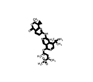 C[C@H](C[C@@H](C)S(C)(=O)=O)Oc1ncc(C(C)(C)N)c2cc(Nc3ccc4c(n3)C3(CC3)[C@@H](C)OC4=O)ncc12